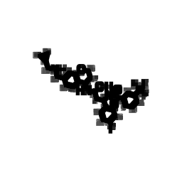 O=C(CC(NS(=O)(=O)c1cccc(C(F)(F)F)c1)c1ccc(F)cc1)NC1CCOc2cc(CNCC3CC3)ccc21